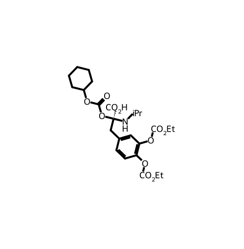 CCOC(=O)Oc1ccc(C[C@](NC(C)C)(OC(=O)OC2CCCCC2)C(=O)O)cc1OC(=O)OCC